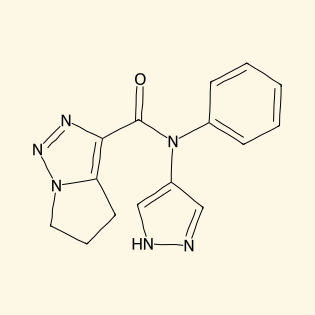 O=C(c1nnn2c1CCC2)N(c1ccccc1)c1cn[nH]c1